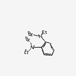 CCN(Br)c1[c]cccc1N(Br)CC